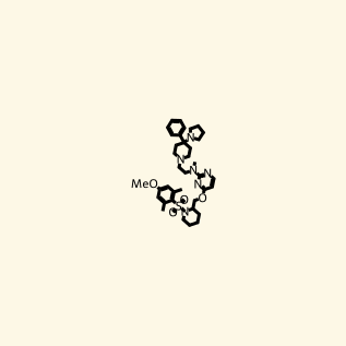 COc1cc(C)c(S(=O)(=O)N2CCCCC2COc2ccnc(N(C)CCN3CCC(c4ccccc4)(N4CCCC4)CC3)n2)c(C)c1